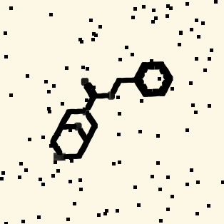 O=C(OCc1ccccc1)N1CC2CNCC(C1)O2